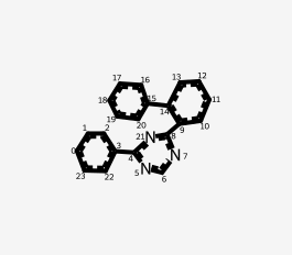 c1ccc(-c2ncnc(-c3ccccc3-c3ccccc3)n2)cc1